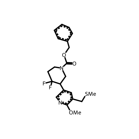 COc1ncc(C2CN(C(=O)OCc3ccccc3)CCC2(F)F)cc1CSC